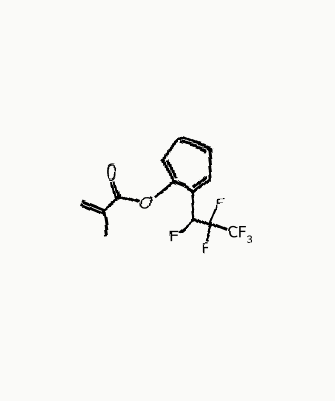 C=C(C)C(=O)Oc1ccccc1C(F)C(F)(F)C(F)(F)F